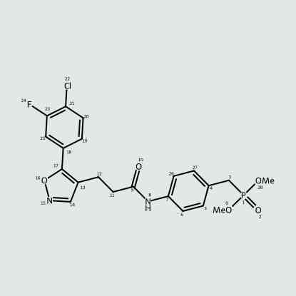 COP(=O)(Cc1ccc(NC(=O)CCc2cnoc2-c2ccc(Cl)c(F)c2)cc1)OC